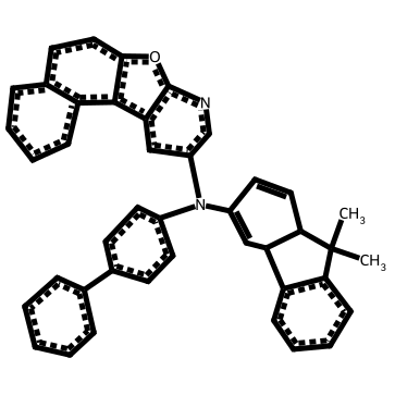 CC1(C)c2ccccc2C2C=C(N(c3ccc(-c4ccccc4)cc3)c3cnc4oc5ccc6ccccc6c5c4c3)C=CC21